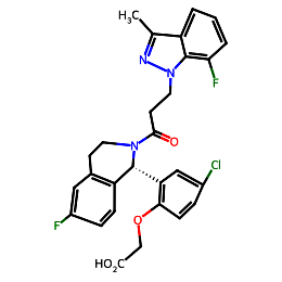 Cc1nn(CCC(=O)N2CCc3cc(F)ccc3[C@H]2c2cc(Cl)ccc2OCC(=O)O)c2c(F)cccc12